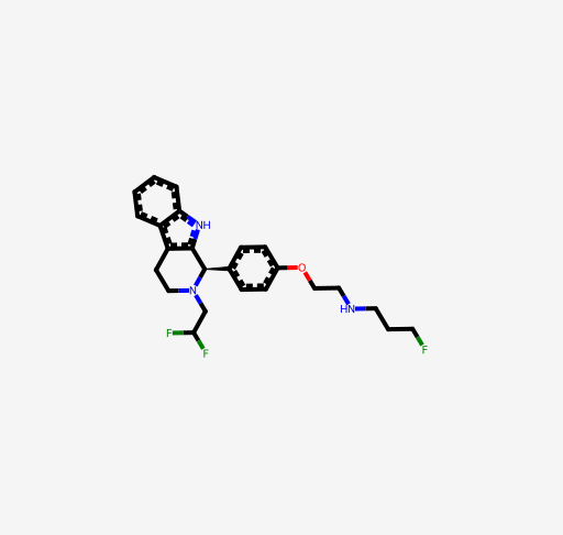 FCCCNCCOc1ccc([C@@H]2c3[nH]c4ccccc4c3CCN2CC(F)F)cc1